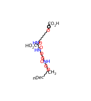 [CH2]C(CCCCCCCCCCCCCC)OCCOCCNC(=O)COCCOCCNC(=O)CC[C@H](NC(=O)CCCCCCCCCOc1ccc(C(=O)O)cc1)C(=O)O